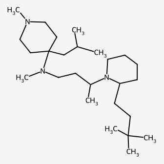 CC(C)CC1(N(C)CCC(C)N2CCCCC2CCC(C)(C)C)CCN(C)CC1